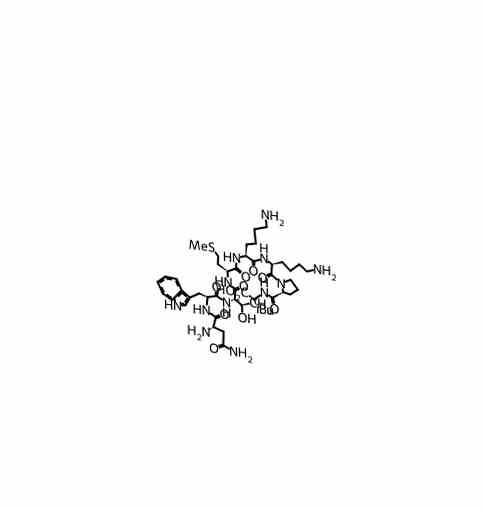 CC[C@H](C)[C@H](NC(=O)[C@@H]1CCCN1C(=O)[C@H](CCCCN)NC(=O)[C@H](CCCCN)NC(=O)[C@H](CCSC)NC(=O)[C@@H](NC(=O)[C@H](Cc1c[nH]c2ccccc12)NC(=O)[C@@H](N)CC(N)=O)[C@@H](C)O)C(=O)O